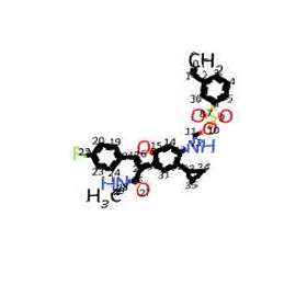 C=Cc1cccc(S(=O)(=O)OCNc2cc3oc(-c4ccc(F)cc4)c(C(=O)NC)c3cc2C2CC2)c1